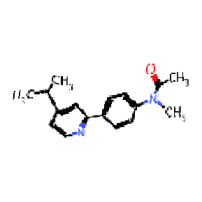 CC(=O)N(C)c1ccc(-c2cc(C(C)C)ccn2)cc1